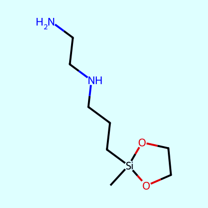 C[Si]1(CCCNCCN)OCCO1